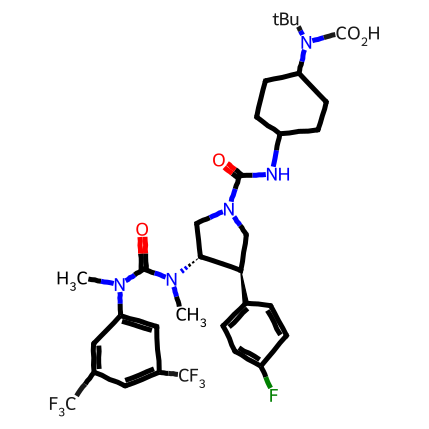 CN(C(=O)N(C)[C@@H]1CN(C(=O)NC2CCC(N(C(=O)O)C(C)(C)C)CC2)C[C@H]1c1ccc(F)cc1)c1cc(C(F)(F)F)cc(C(F)(F)F)c1